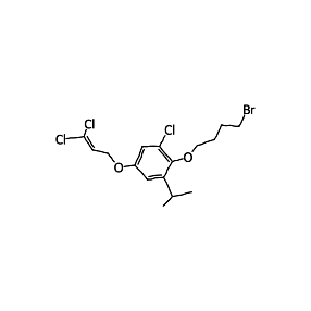 CC(C)c1cc(OCC=C(Cl)Cl)cc(Cl)c1OCCCCBr